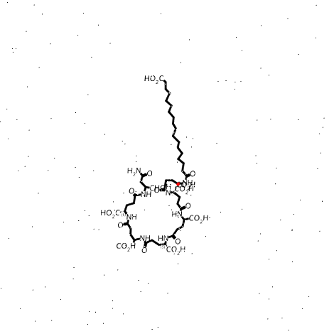 NC(=O)CC(C=O)NC(=O)CC[C@H](NC(=O)CCC(NC(=O)CC[C@H](NC(=O)CCC(NC(=O)CC[C@H](NC(=O)CCC(NC(=O)CCCCCCCCCCCCCCCCC(=O)O)C(=O)O)C(=O)O)C(=O)O)C(=O)O)C(=O)O)C(=O)O